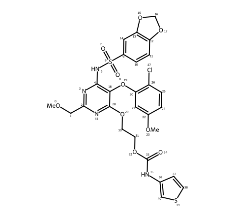 COCc1nc(NS(=O)(=O)c2ccc3c(c2)OCO3)c(Oc2cc(OC)ccc2Cl)c(OCCOC(=O)Nc2ccsc2)n1